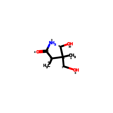 CC(C(N)=O)C(C)(CO)CO